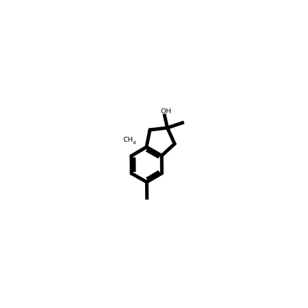 C.Cc1ccc2c(c1)CC(C)(O)C2